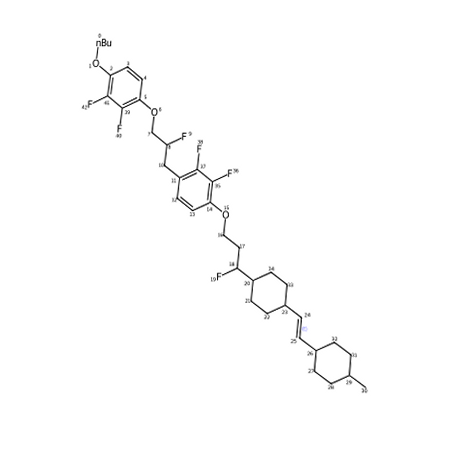 CCCCOc1ccc(OCC(F)Cc2ccc(OCCC(F)C3CCC(/C=C/C4CCC(C)CC4)CC3)c(F)c2F)c(F)c1F